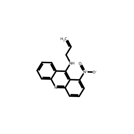 C=CCNc1c2ccccc2nc2cccc([N+](=O)[O-])c12